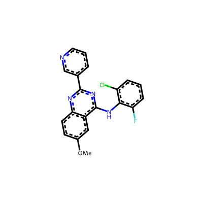 COc1ccc2nc(-c3cccnc3)nc(Nc3c(F)cccc3Cl)c2c1